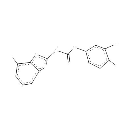 O=C(Nc1ccc(Cl)c(C(F)(F)F)c1)Nc1nc2c(Cl)cccc2s1